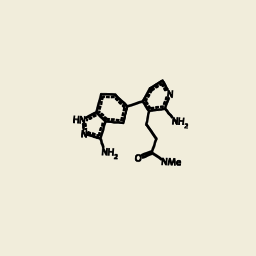 CNC(=O)CCc1c(-c2ccc3[nH]nc(N)c3c2)ccnc1N